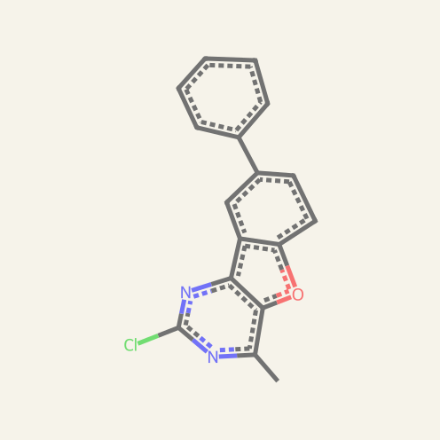 Cc1nc(Cl)nc2c1oc1ccc(-c3ccccc3)cc12